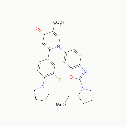 COCC1CCCN1c1nc2ccc(-n3cc(C(=O)O)c(=O)cc3-c3ccc(N4CCCC4)c(F)c3)cc2o1